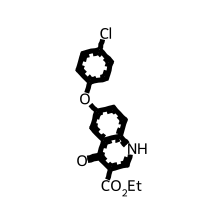 CCOC(=O)c1c[nH]c2ccc(Oc3ccc(Cl)cc3)cc2c1=O